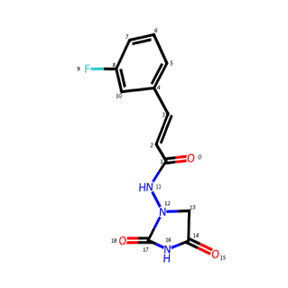 O=C(C=Cc1cccc(F)c1)NN1CC(=O)NC1=O